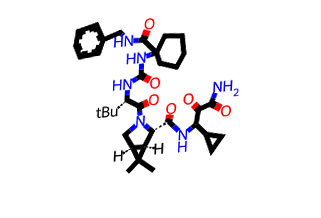 CC(C)(C)[C@H](NC(=O)NC1(C(=O)NCc2ccccc2)CCCCC1)C(=O)N1C[C@H]2[C@@H]([C@H]1C(=O)NC(C(=O)C(N)=O)C1CC1)C2(C)C